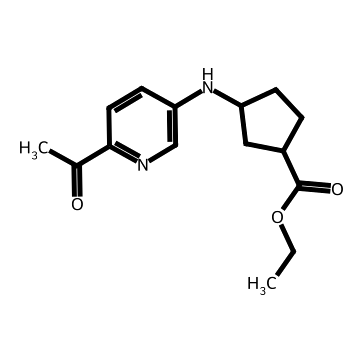 CCOC(=O)C1CCC(Nc2ccc(C(C)=O)nc2)C1